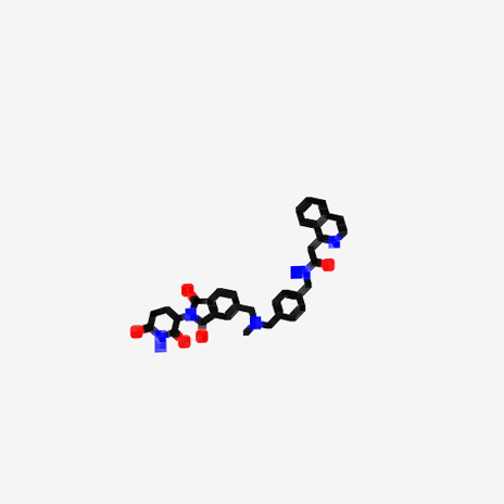 CN(Cc1ccc(CNC(=O)Cc2nccc3ccccc23)cc1)Cc1ccc2c(c1)C(=O)N(C1CCC(=O)NC1=O)C2=O